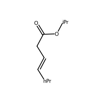 CCCC=CCC(=O)OC(C)C